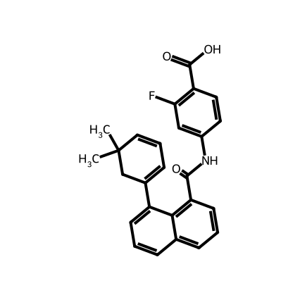 CC1(C)C=CC=C(c2cccc3cccc(C(=O)Nc4ccc(C(=O)O)c(F)c4)c23)C1